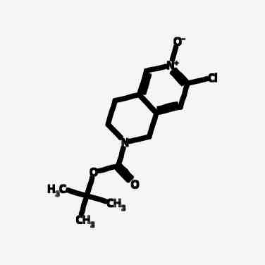 CC(C)(C)OC(=O)N1CCc2c[n+]([O-])c(Cl)cc2C1